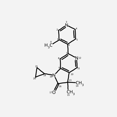 Cc1cnccc1-c1cc2c(cn1)C(C)(C)C(=O)N2C1CC1